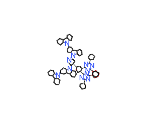 c1ccc(-c2nc(-c3ccccc3)nc(-c3ccc(-c4cc(-n5c6ccccc6c6cc(-n7c8ccccc8c8ccccc87)ccc65)ncc4-n4c5ccccc5c5cc(-n6c7ccccc7c7ccccc76)ccc54)cc3-c3nc(-c4ccccc4)nc(-c4ccccc4)n3)n2)cc1